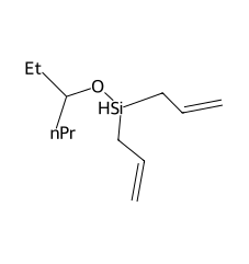 C=CC[SiH](CC=C)OC(CC)CCC